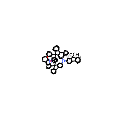 CC1(C)c2ccccc2-c2ccc(N(c3ccc4c(c3)C3(c5ccccc5-4)c4ccccc4-n4c5ccccc5c5cccc3c54)c3cc4c(c5ccccc35)-c3ccccc3C4(c3ccccc3)c3ccccc3)cc21